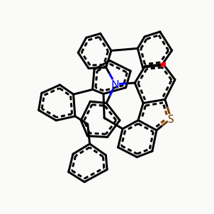 c1ccc(Cc2ccccc2-c2ccccc2Cc2cccc3sc4cccc(N(c5ccccc5)c5ccccc5-c5ccccc5)c4c23)cc1